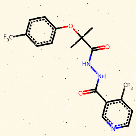 CC(C)(Oc1ccc(C(F)(F)F)cc1)C(=O)NNC(=O)c1cnccc1C(F)(F)F